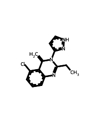 C=C1c2c(Cl)cccc2N=C(CC)N1c1cc[nH]n1